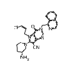 N#Cc1c(N2CCC[C@H](N)C2)n(C/C=C\Cl)c2c(=O)n(Cc3nccc4ccccc34)cnc12